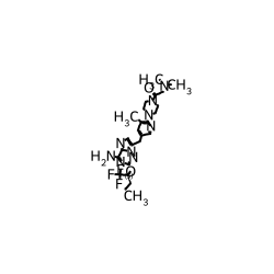 CCC[C@H](Oc1nc(N)c2ncc(Cc3cnc(N4CCN(C(=O)CN(C)C)CC4)c(C)c3)n2n1)C(F)(F)F